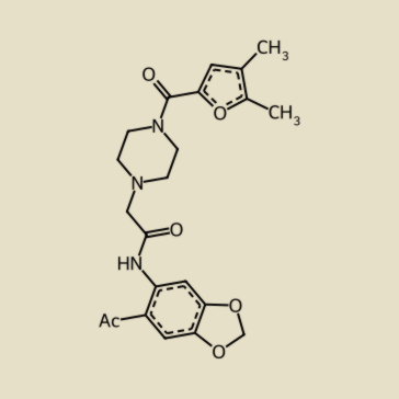 CC(=O)c1cc2c(cc1NC(=O)CN1CCN(C(=O)c3cc(C)c(C)o3)CC1)OCO2